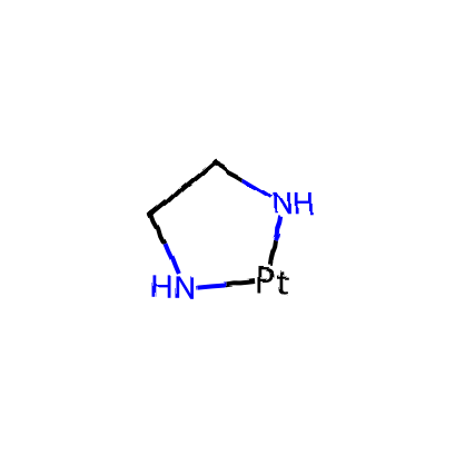 C1C[NH][Pt][NH]1